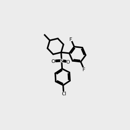 CC1CCC(c2cc(F)ccc2F)(S(=O)(=O)c2ccc(Cl)cc2)CC1